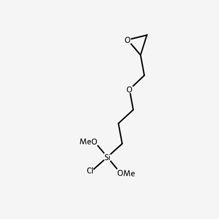 CO[Si](Cl)(CCCOCC1CO1)OC